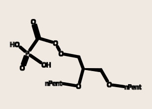 CCCCCOC[C@H](COOC(=O)P(=O)(O)O)OCCCCC